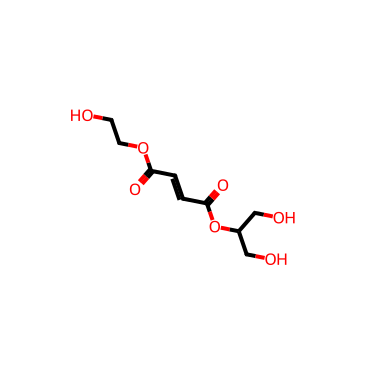 O=C(/C=C/C(=O)OC(CO)CO)OCCO